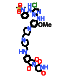 COc1cc(N2CCC(CN3CCC(CNc4ccc5c(c4)C(=O)N(C4CCC(=O)NC4=O)C5=O)CC3)CC2)ccc1Nc1ncc(Cl)c(Nc2ccccc2N(C)S(C)(=O)=O)n1